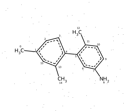 Cc1ccc(-c2cc(N)ccc2C)c(C)c1